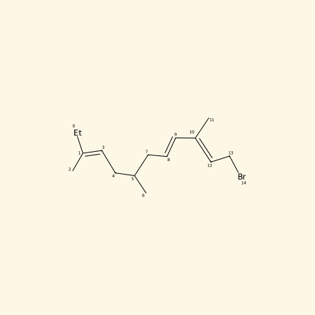 CCC(C)=CCC(C)CC=CC(C)=CCBr